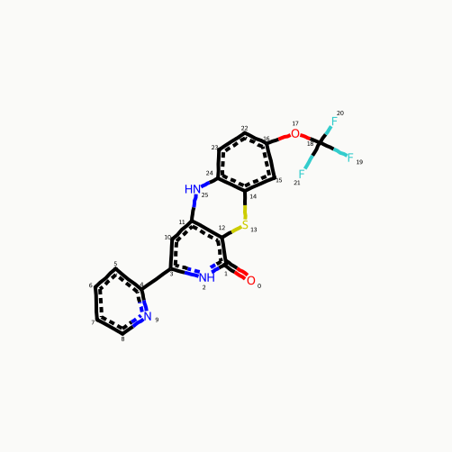 O=c1[nH]c(-c2ccccn2)cc2c1Sc1cc(OC(F)(F)F)ccc1N2